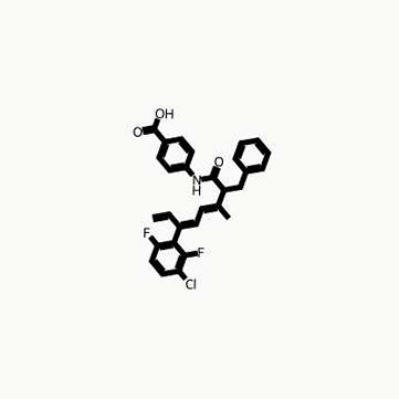 C=C/C(=C\C=C(/C)C(Cc1ccccc1)C(=O)Nc1ccc(C(=O)O)cc1)c1c(F)ccc(Cl)c1F